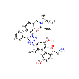 CCCCC(=O)N(Cc1ccc(-c2ccccc2-c2nnn[nH]2)cc1)[C@H](C(=O)O)C(C)C.CCOc1ccc(NC(C)=O)cc1.NCC(O)c1ccc(O)cc1